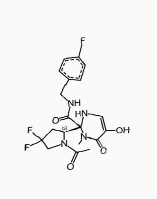 CC(=O)N1CC(F)(F)C[C@H]1C1(C(=O)NCc2ccc(F)cc2)NC=C(O)C(=O)N1C